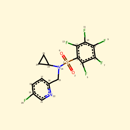 O=S(=O)(c1c(F)c(F)c(F)c(F)c1F)N(Cc1ccc(F)cn1)C1CC1